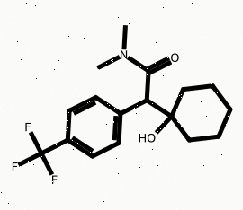 CN(C)C(=O)C(c1ccc(C(F)(F)F)cc1)C1(O)CCCCC1